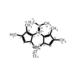 CC1=CC(C)[C]([Hf+2]([C]2=C(C)C(C)=CC2C)=[Si](C)C)=C1C.[Cl-].[Cl-]